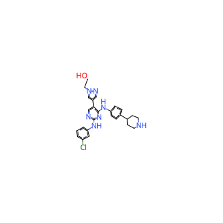 OCCn1cc(-c2cnc(Nc3cccc(Cl)c3)nc2Nc2ccc(C3CCNCC3)cc2)cn1